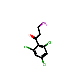 O=C(CCP)c1c(Cl)cc(Cl)cc1Cl